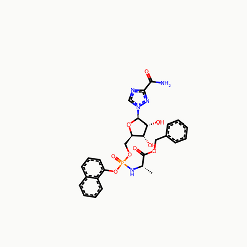 C[C@H](NP(=O)(OC[C@H]1O[C@@H](n2cnc(C(N)=O)n2)[C@H](O)[C@@H]1O)Oc1cccc2ccccc12)C(=O)OCc1ccccc1